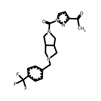 CC(=O)c1ccn(C(=O)N2CC3CN(Cc4ccc(C(F)(F)F)cc4)CC3C2)n1